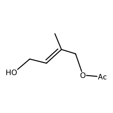 CC(=O)OCC(C)=CCO